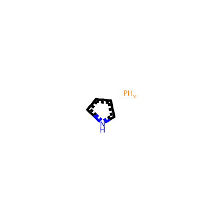 P.c1cc[nH]c1